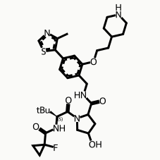 Cc1ncsc1-c1ccc(CNC(=O)C2CC(O)CN2C(=O)[C@@H](NC(=O)C2(F)CC2)C(C)(C)C)c(OCCC2CCNCC2)c1